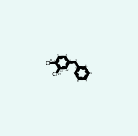 Clc1ccc(Cc2cc[c]cc2)cc1Cl